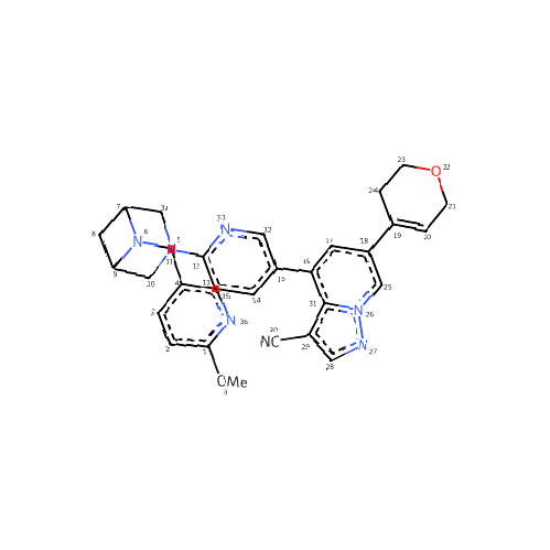 COc1ccc(CN2C3CC2CN(c2ccc(-c4cc(C5=CCOCC5)cn5ncc(C#N)c45)cn2)C3)cn1